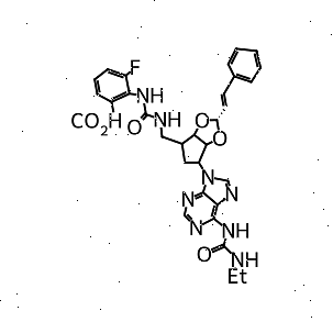 CCNC(=O)Nc1ncnc2c1ncn2C1CC(CNC(=O)Nc2c(F)cccc2C(=O)O)C2O[C@H](/C=C/c3ccccc3)OC21